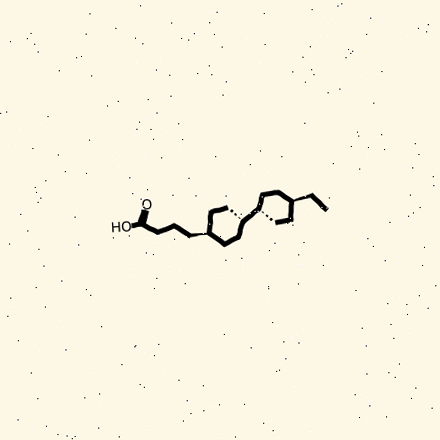 CC[C@H]1CC[C@H]([C@H]2CC[C@H](CCCC(=O)O)CC2)CC1